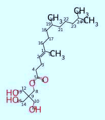 C/C(=C\CCC(=O)OCC(CO)(CO)CO)CCCC(C)CCCC(C)C